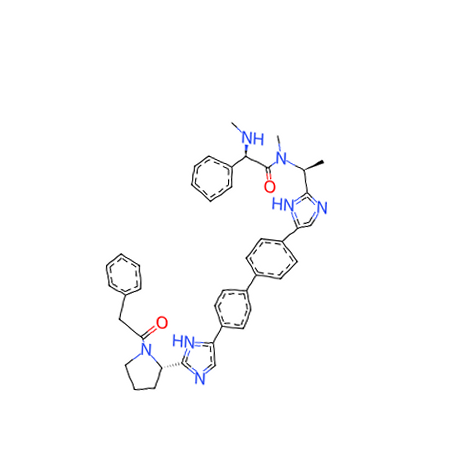 CN[C@@H](C(=O)N(C)[C@@H](C)c1ncc(-c2ccc(-c3ccc(-c4cnc([C@@H]5CCCN5C(=O)Cc5ccccc5)[nH]4)cc3)cc2)[nH]1)c1ccccc1